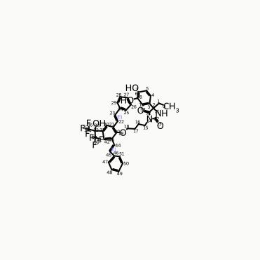 CCC1(c2ccc(O)c(O)c2)NC(=O)N(CCCCOc2c(/C=C/c3ccccc3)cc(C(O)(C(F)(F)F)C(F)(F)F)cc2/C=C/c2ccccc2)C1=O